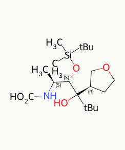 C[C@H](NC(=O)O)[C@H](O[Si](C)(C)C(C)(C)C)C(O)([C@@H]1CCOC1)C(C)(C)C